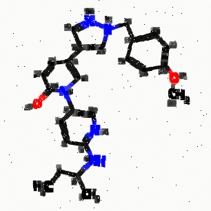 CCC(C)Nc1ccc(-n2cc(-c3cnn(Cc4ccc(OC)cc4)c3)ccc2=O)cn1